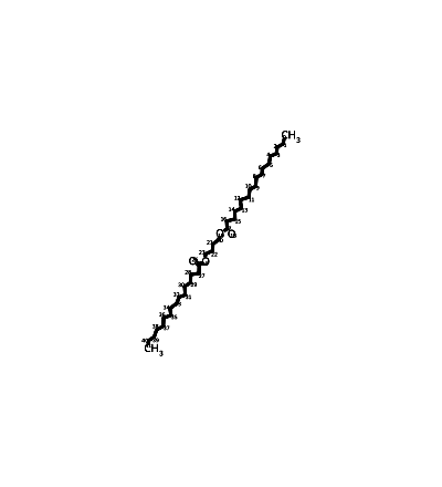 CCCCCCCCCCCCCCCCCC(=O)OCCCCOC(=O)CCCCCCCCCCCCCCC